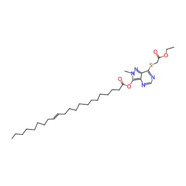 CCCCCCCCC=CCCCCCCCCCCCC(=O)Oc1c2ncnc(SCC(=O)OCC)c2nn1C